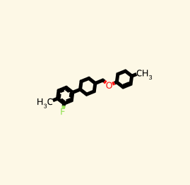 Cc1ccc(C2CCC(COC3C=CC(C)CC3)CC2)cc1F